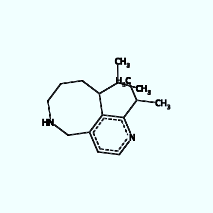 CC(C)c1nccc2c1C(C(C)C)CCCNC2